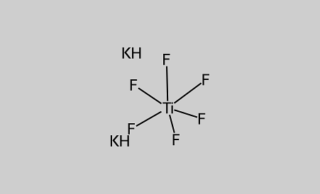 [F][Ti]([F])([F])([F])([F])[F].[KH].[KH]